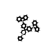 c1ccc(N2CCC(c3ccc(-n4c5ccccc5c5ccccc54)cc3)(c3ccc(-n4c5ccccc5c5ccccc54)cc3)CC2)cc1